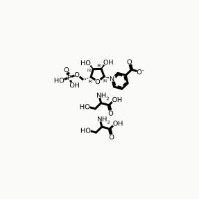 NC(CO)C(=O)O.NC(CO)C(=O)O.O=C([O-])c1ccc[n+]([C@@H]2O[C@H](COP(=O)(O)O)[C@@H](O)[C@H]2O)c1